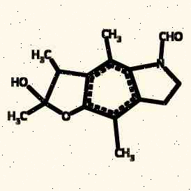 Cc1c2c(c(C)c3c1OC(C)(O)C3C)N(C=O)CC2